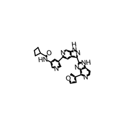 O=C(Nc1cncc(-c2cc3c(-c4nc5c(-c6ccoc6)nccc5[nH]4)n[nH]c3cn2)c1)C1CCC1